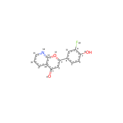 O=c1cc(-c2ccc(O)c(F)c2)oc2ncccc12